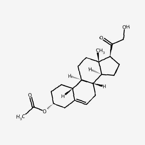 CC(=O)O[C@@H]1CC[C@H]2C(=CC[C@@H]3[C@@H]2CC[C@]2(C)[C@@H](C(=O)CO)CC[C@@H]32)C1